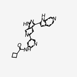 O=C(Nc1cncc(-c2cc3c(-c4cc5ccncc5[nH]4)n[nH]c3cn2)c1)C1CCC1